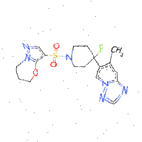 Cc1cc2ncnn2cc1C1(F)CCN(S(=O)(=O)c2cnn3c2OCCC3)CC1